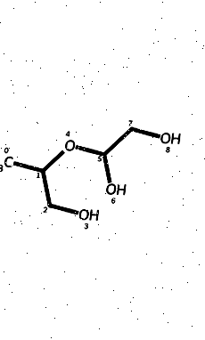 CC(CO)OC(O)CO